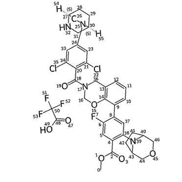 COC(=O)c1cc(F)c(-c2cccc3c2OCN(C(=O)c2c(Cl)cc(N4C[C@@H]5CC[C@H]4CN5)cc2Cl)C3)cc1N1C2CCC1COC2.O=C(O)C(F)(F)F